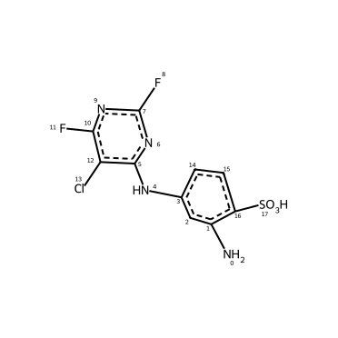 Nc1cc(Nc2nc(F)nc(F)c2Cl)ccc1S(=O)(=O)O